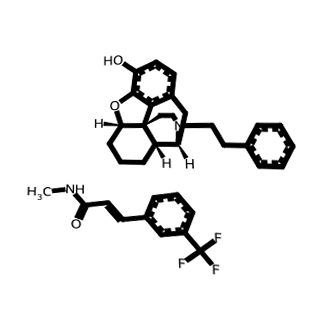 CNC(=O)/C=C/c1cccc(C(F)(F)F)c1.Oc1ccc2c3c1O[C@H]1CCC[C@H]4[C@@H](C2)N(CCc2ccccc2)CC[C@]314